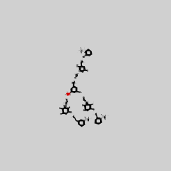 O=C(OCCOc1c(I)c(I)cc(C(=O)OCCc2cccc([N+](=O)[O-])c2)c1I)c1cc(C(=O)OCCOc2c(I)c(I)cc(C(=O)OCc3ccccc3[N+](=O)[O-])c2I)cc(C(=O)OCCOc2c(I)c(I)cc(C(=O)OCc3ccccc3[N+](=O)[O-])c2I)c1